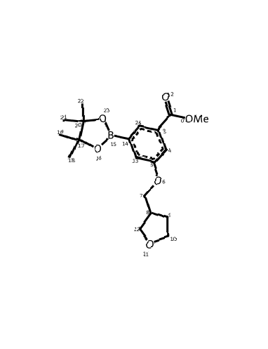 COC(=O)c1cc(OCC2CCOC2)cc(B2OC(C)(C)C(C)(C)O2)c1